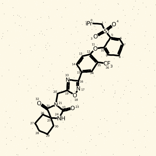 CC(C)CS(=O)(=O)c1ccccc1Oc1ccc(-c2noc(CN3C(=O)NC4(CCCCC4)C3=O)n2)cc1C(F)(F)F